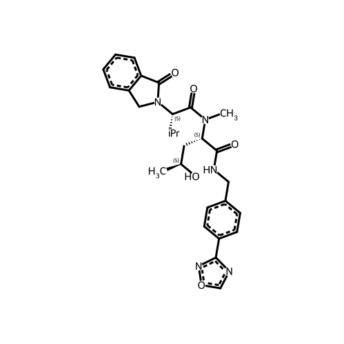 CC(C)[C@@H](C(=O)N(C)[C@@H](C[C@H](C)O)C(=O)NCc1ccc(-c2ncon2)cc1)N1Cc2ccccc2C1=O